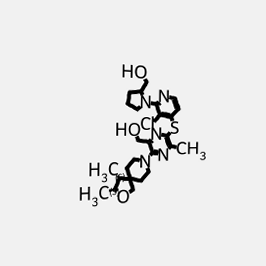 Cc1nc(N2CCC3(CC2)CO[C@@H](C)[C@H]3C)c(CO)nc1Sc1ccnc(N2CCCC2CO)c1Cl